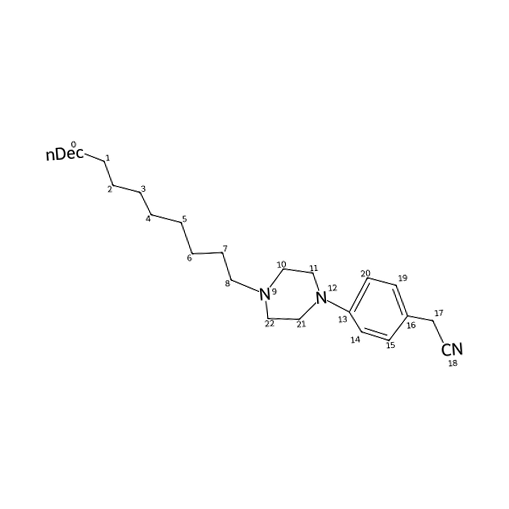 CCCCCCCCCCCCCCCCCCN1CCN(c2ccc(CC#N)cc2)CC1